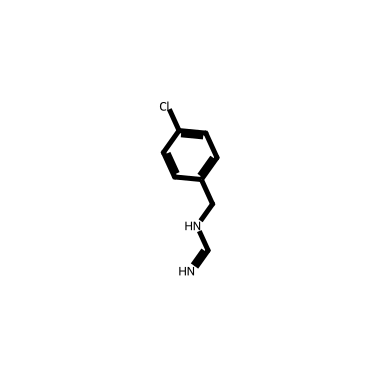 N=CNCc1ccc(Cl)cc1